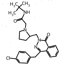 CC(C)(C)NC(=O)CN1CCCC1Cn1nc(Cc2ccc(Cl)cc2)c2ccccc2c1=O